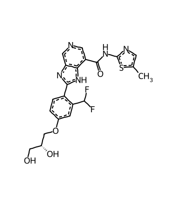 Cc1cnc(NC(=O)c2cncc3nc(-c4ccc(OC[C@H](O)CO)cc4C(F)F)[nH]c23)s1